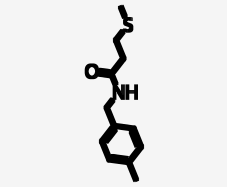 CSCCC(=O)NCc1ccc(C)cc1